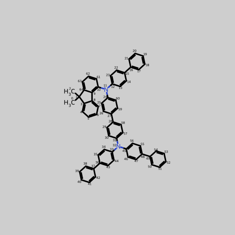 CC1(C)c2ccccc2-c2c(N(c3ccc(-c4ccccc4)cc3)c3ccc(-c4ccc(N(c5ccc(-c6ccccc6)cc5)c5ccc(-c6ccccc6)cc5)cc4)cc3)cccc21